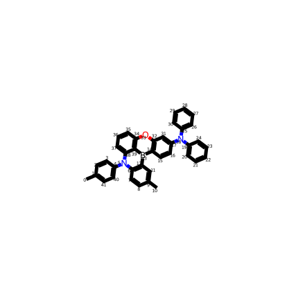 Cc1ccc(N2c3ccc(C)cc3B3c4ccc(N(c5ccccc5)c5ccccc5)cc4Oc4cccc2c43)cc1